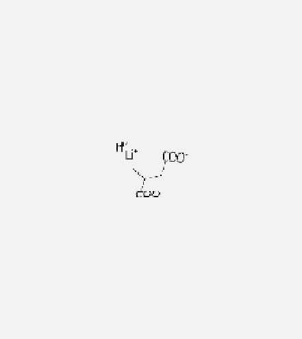 CC(CC(=O)[O-])C(=O)[O-].[H+].[Li+]